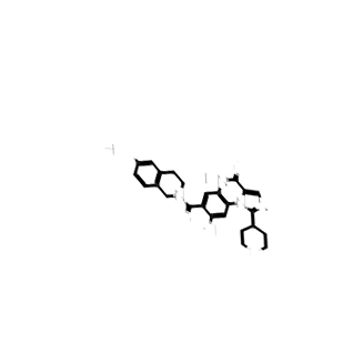 Cc1ccc2c(c1)CCN(C(=O)c1cc3[nH]c(=O)c4cnc(C5CCOCC5)n4c3cc1C)C2